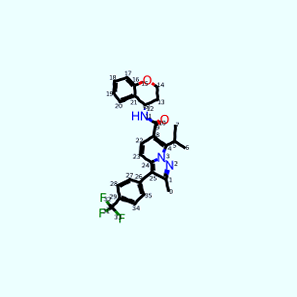 Cc1nn2c(C(C)C)c(C(=O)N[C@H]3CCOc4ccccc43)ccc2c1-c1ccc(C(F)(F)F)cc1